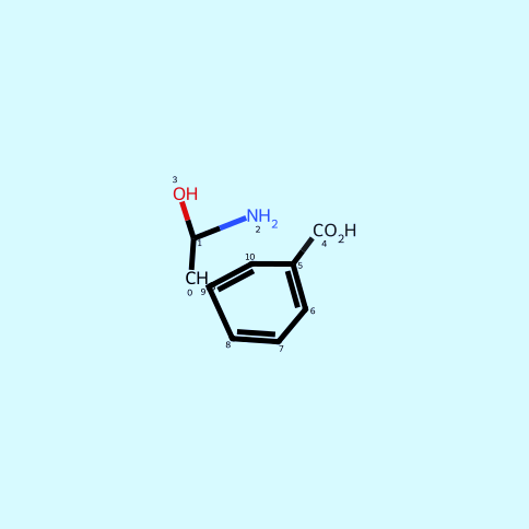 CC(N)O.O=C(O)c1ccccc1